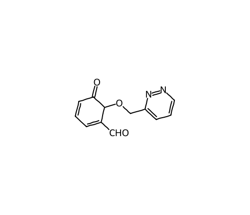 O=CC1=CC=CC(=O)C1OCc1cccnn1